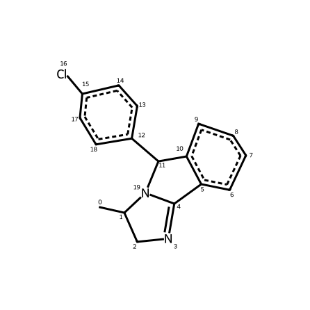 CC1CN=C2c3ccccc3C(c3ccc(Cl)cc3)N21